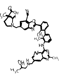 Cc1nc(Nc2cccc(-c3cccc(-c4nc5cc(CN6CCC(C)(C(=O)O)C6I)cc(C#N)c5o4)c3C)c2C)c2ncc(CNCC(C)O)cc2n1